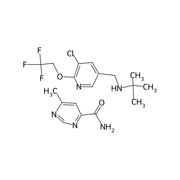 CC(C)(C)NCc1cnc(OCC(F)(F)F)c(Cl)c1.Cc1cc(C(N)=O)ncn1